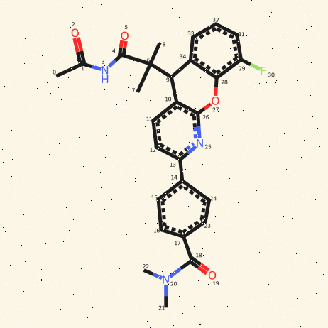 CC(=O)NC(=O)C(C)(C)C1c2ccc(-c3ccc(C(=O)N(C)C)cc3)nc2Oc2c(F)cccc21